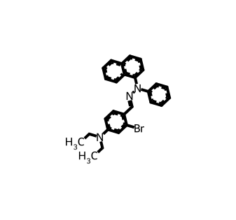 CCN(CC)c1ccc(C=NN(c2ccccc2)c2cccc3ccccc23)c(Br)c1